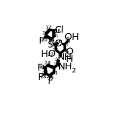 N/C(=C\NC1C(O)C(CO)OC(Sc2cc(Cl)ccc2F)C1O)c1cc(F)c(F)c(F)c1